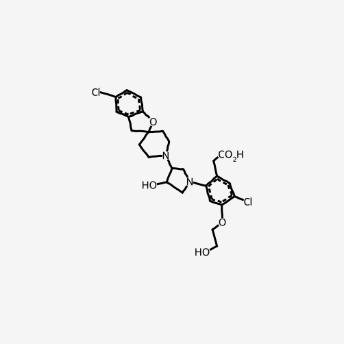 O=C(O)Cc1cc(Cl)c(OCCO)cc1N1CC(O)C(N2CCC3(CC2)Cc2cc(Cl)ccc2O3)C1